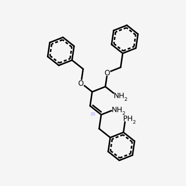 N/C(=C\C(OCc1ccccc1)C(N)OCc1ccccc1)Cc1ccccc1P